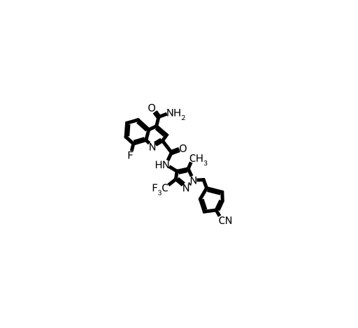 Cc1c(NC(=O)c2cc(C(N)=O)c3cccc(F)c3n2)c(C(F)(F)F)nn1Cc1ccc(C#N)cc1